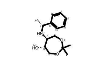 C[C@@H](N[C@H]1COC(C)(C)OC[C@@H]1O)c1ccccc1